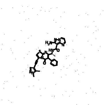 Cc1c(C#Cc2csc3nc([C@@H](C)NC(=O)c4c(N)nn5cccnc45)c(-c4ccccc4)c(=O)n23)cnn1C